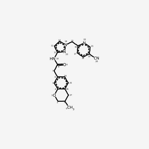 CC1COc2cc(CC(=O)Nc3ccn(Cc4ccc(C#N)cn4)n3)ccc2C1